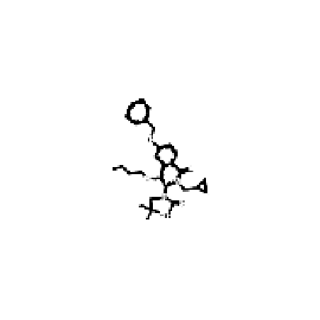 CCCCOc1c(N(CC(C)(C)C)C(=O)O)n(CC2CC2)c(=O)c2ccc(OCc3ccccc3)cc12